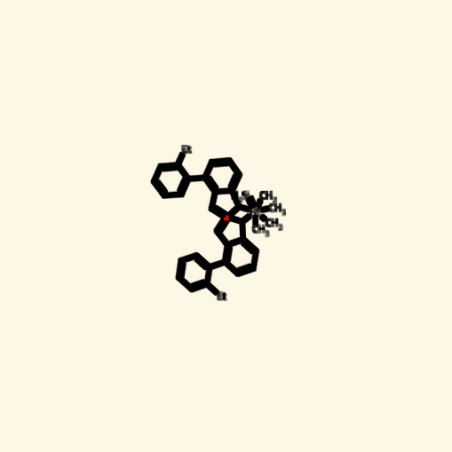 CCc1ccccc1-c1cccc2c1C=C[CH]2[Hf]([CH3])([CH3])([CH3])([CH3])(=[SiH2])[CH]1C=Cc2c(-c3ccccc3CC)cccc21